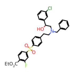 CCOC(=O)c1ccc(S(=O)(=O)c2ccc(CCN(Cc3ccccc3)C[C@@H](O)c3cccc(Cl)c3)cc2)cc1F